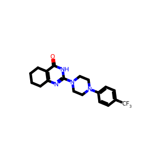 O=c1[nH]c(N2CCN(c3ccc(C(F)(F)F)cc3)CC2)nc2c1CCCC2